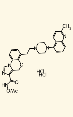 CONC(=O)c1ncn2c1COc1c(CCN3CCN(c4cccc5nc(C)ccc45)CC3)cccc1-2.Cl.Cl